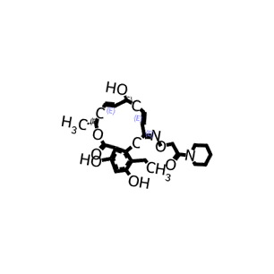 CCc1c(O)cc(O)c2c1CC(=N\OCC(=O)N1CCCCC1)/C=C/C[C@H](O)/C=C/C[C@@H](C)OC2=O